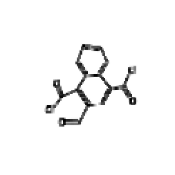 O=Cc1cc(C(=O)Cl)c2ccccc2c1C(=O)Cl